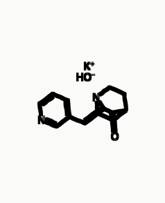 O=C1C(=Cc2cccnc2)N2CCC1CC2.[K+].[OH-]